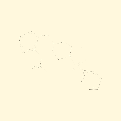 CC(=O)Oc1ccccc1CN1CCN(S(=O)(=O)c2ccccc2)[C@@H](C)C1